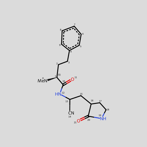 CN[C@@H](CCc1ccccc1)C(=O)NC(C#N)CC1CCNC1=O